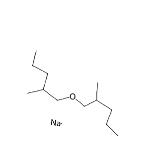 CCCC(C)COCC(C)CCC.[Na]